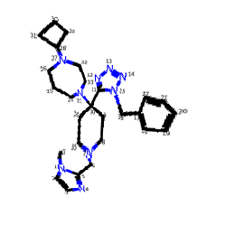 Cn1ccnc1CN1CCC(c2nnnn2Cc2ccccc2)(N2CCCN(C3CCC3)CC2)CC1